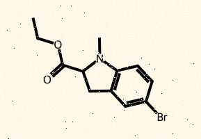 CCOC(=O)C1Cc2cc(Br)ccc2N1C